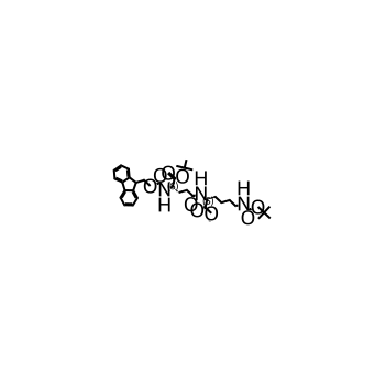 COC(=O)[C@H](CCCCNC(=O)OC(C)(C)C)NC(=O)CC[C@H](NC(=O)OCC1c2ccccc2-c2ccccc21)C(=O)OC(C)(C)C